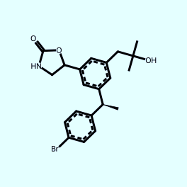 C[C@@H](c1ccc(Br)cc1)c1cc(CC(C)(C)O)cc(C2CNC(=O)O2)c1